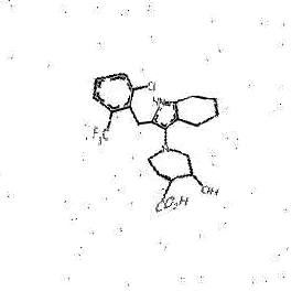 O=C(O)C1CCN(c2c(Cc3c(Cl)cccc3C(F)(F)F)[nH]c3c2CCCC3)CC1O